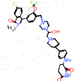 Cn1cc(-c2ccc(CN3CCN(C(O)CN4CCC(c5ccc(NC6CCC(=O)NC6=O)cc5)CC4)CC3)c(OC(F)(F)F)c2)c2ccc(F)cc2c1=O